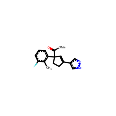 COC(=O)C1(c2cccc(F)c2C)C=C(c2cn[nH]c2)CC1